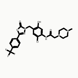 CN1CCN(CC(=O)Nc2cc(O)c(Cn3nc(-c4ccc(C(F)(F)F)cc4)oc3=O)cc2Cl)CC1